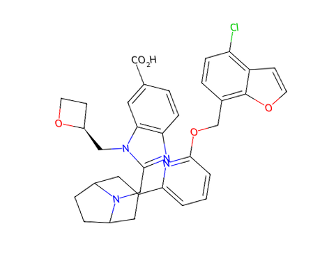 O=C(O)c1ccc2nc(CN3C4CCC3CC(c3cccc(OCc5ccc(Cl)c6ccoc56)n3)C4)n(C[C@@H]3CCO3)c2c1